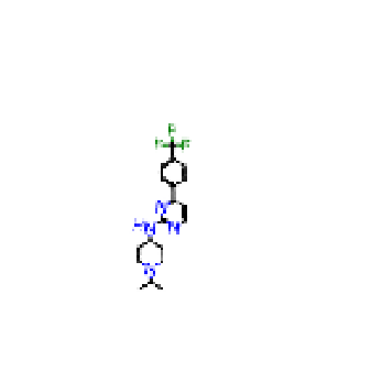 CC(C)N1CCC(Nc2nccc(-c3ccc(C(F)(F)F)cc3)n2)CC1